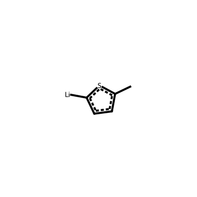 [Li][c]1ccc(C)s1